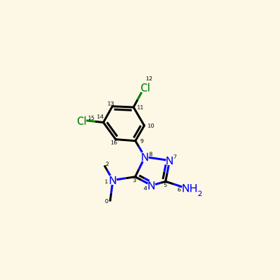 CN(C)c1nc(N)nn1-c1cc(Cl)cc(Cl)c1